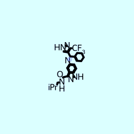 CC(C)CNC(=O)c1n[nH]c2ccc(/N=C(\C3=CCCCC3)c3c[nH]nc3C(F)(F)F)cc12